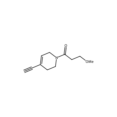 C#CC1=CCN(C(=O)CCOC)CC1